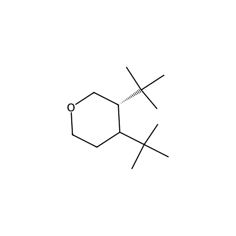 CC(C)(C)C1CCOC[C@@H]1C(C)(C)C